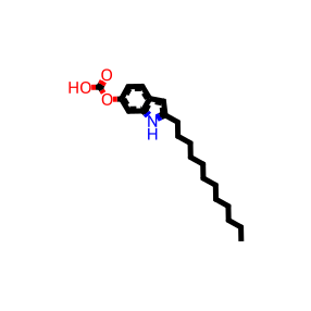 CCCCCCCCCCCCc1cc2ccc(OC(=O)O)cc2[nH]1